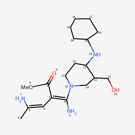 COC(=O)C(/C=C(/C)N)=C(/N)N1CCC(NC2CCCCC2)C(CO)C1